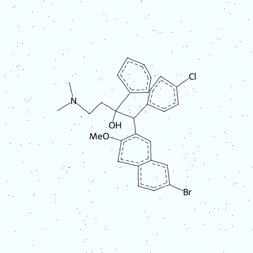 COc1cc2ccc(Br)cc2cc1C(c1ccc(Cl)cc1)C(O)(CCN(C)C)c1ccccc1